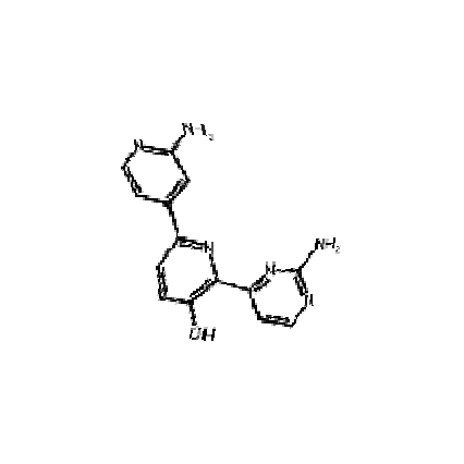 Nc1cc(-c2ccc(O)c(-c3ccnc(N)n3)n2)ccn1